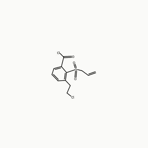 C=CCS(=O)(=O)c1c(CCCl)cccc1C(=O)Cl